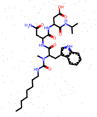 CCCCCCCCNC(=O)N(C)C(Cc1c[nH]c2ccccc12)C(=O)NC(CC(N)=O)C(=O)NC(CC(=O)O)C(=O)NC(C)C